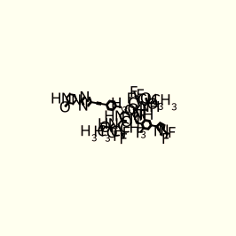 COC(=O)N[C@H](C(=O)N[C@@H](Cc1ccc(C#Cc2cnc(N3CCNC(=O)C3)nc2)cc1)[C@@H](O)CN(Cc1c(F)cc(-c2ccn(C(F)F)n2)cc1F)NC(=O)[C@@H](NC(=O)OC)C(C)(C)C(F)(F)F)C(C)(C)C(F)(F)F